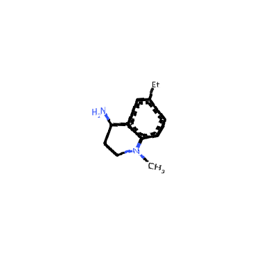 CCc1ccc2c(c1)C(N)CCN2C